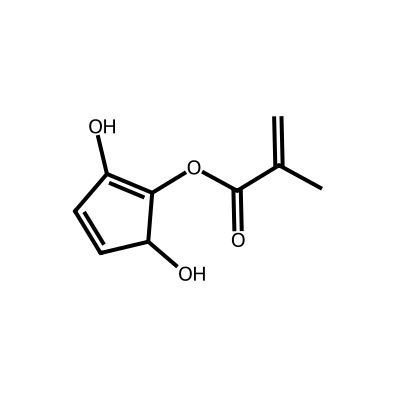 C=C(C)C(=O)OC1=C(O)C=CC1O